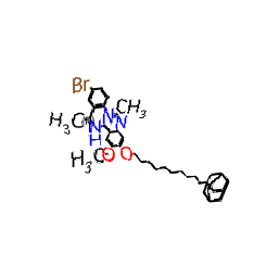 COc1cc2c(N[C@H](C)c3cccc(Br)c3)nc(C)nc2cc1OCCCCCCCCCCC12CC3CC(CC(C3)C1)C2